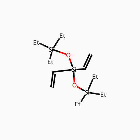 C=C[Si](C=C)(O[Si](CC)(CC)CC)O[Si](CC)(CC)CC